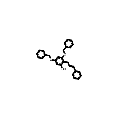 Oc1cc(OCc2ccccc2)cc(OCc2ccccc2)c1C/C=C/c1ccccc1